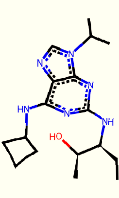 CC[C@H](Nc1nc(NC2CCC2)c2ncn(C(C)C)c2n1)[C@@H](C)O